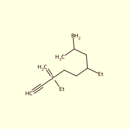 BC(C)CC(CC)CCP(=C)(C#C)CC